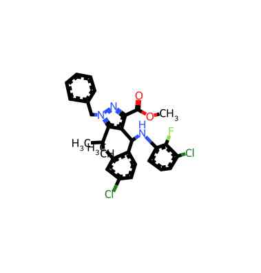 COC(=O)c1nn(Cc2ccccc2)c(C(C)C)c1C(Nc1cccc(Cl)c1F)c1ccc(Cl)cc1C